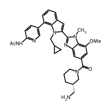 COc1cc(C(=O)N2CCC[C@@H](CN)C2)cc2nc(-c3cc4cccc(-c5ccc(NC(C)=O)nc5)c4n3CC3CC3)n(C)c12